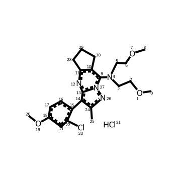 COCCN(CCOC)c1c2c(nc3c(-c4ccc(OC)cc4Cl)c(C)nn13)CCC2.Cl